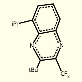 CC(C)c1cccc2nc(C(F)(F)F)c(C(C)(C)C)nc12